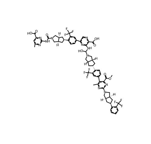 COC(=O)c1nc(N2C[C@H]3C[C@@H](c4ccccc4C(F)(F)F)C[C@H]3C2)nc(C)c1-c1ccc([C@@H]2C[C@@H]3CN(C(O)Nc4nc(-c5ccc([C@@H]6C[C@@H]7CN(C(=O)Nc8nc(C)cc(C(=O)O)n8)C[C@@H]7C6)c(C(F)(F)F)c5)cnc4C(=O)O)C[C@@H]3C2)c(C(F)(F)F)c1